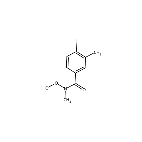 CON(C)C(=O)c1ccc(I)c(C)c1